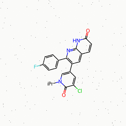 CC(C)n1cc(-c2cc3ccc(=O)[nH]c3nc2-c2ccc(F)cc2)cc(Cl)c1=O